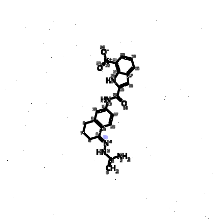 C=C(N)N/N=C1\CCCc2cc(NC(=O)c3cc4cccc([N+](=O)[O-])c4[nH]3)ccc21